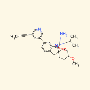 CC#Cc1cncc(-c2ccc3c(c2)C2(N=C(N)N(C(C)C)C2=O)C2(CCC(OC)CC2)C3)c1